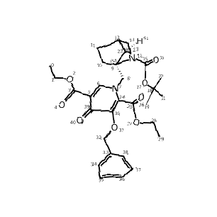 CCOC(=O)c1cn(C[C@@]23CCC(CN2C(=O)OC(C)(C)C)[C@H]3C)c(C(=O)OCC)c(OCc2ccccc2)c1=O